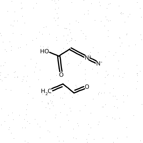 C=CC=O.[N-]=[N+]=CC(=O)O